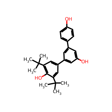 CC(C)(C)c1cc(-c2cc(O)cc(-c3ccc(O)cc3)c2)cc(C(C)(C)C)c1O